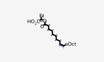 CCCCCCCC/C=C\CCCCCCCC(=O)OC(CC)C(=O)O